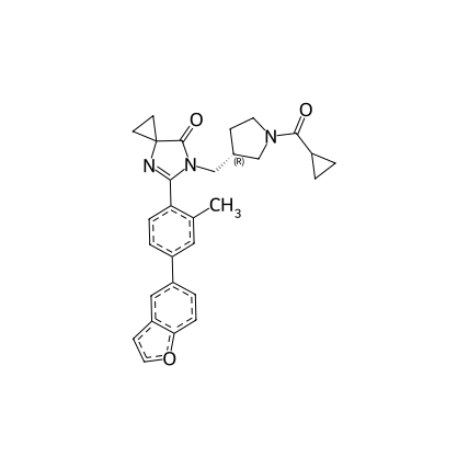 Cc1cc(-c2ccc3occc3c2)ccc1C1=NC2(CC2)C(=O)N1C[C@@H]1CCN(C(=O)C2CC2)C1